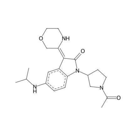 CC(=O)N1CCC(N2C(=O)/C(=C3/COCCN3)c3cc(NC(C)C)ccc32)C1